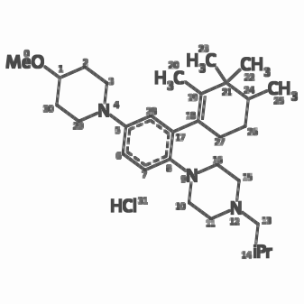 COC1CCN(c2ccc(N3CCN(CC(C)C)CC3)c(C3=C(C)C(C)(C)C(C)CC3)c2)CC1.Cl